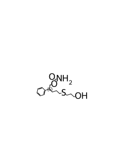 NC(=O)OC[C@@H](CCCSCCCO)c1ccccc1